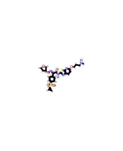 CNCCCOc1ccc2nc(NC(=O)/C(=N/O[C@@H]3CCOC3)c3ccc(S(=O)(=O)C4CC4)cc3)sc2n1